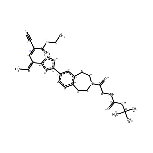 C=C(OCC)/C(C#N)=C\C(=C/N)c1nc(-c2ccc3c(c2)CCN(C(=O)CNC(=O)OC(C)(C)C)CC3)no1